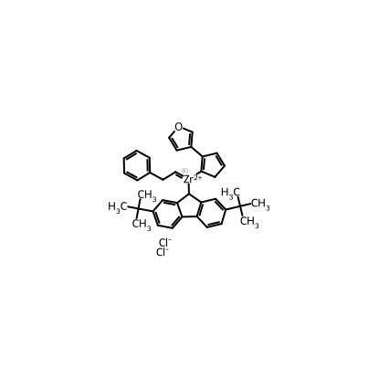 CC(C)(C)c1ccc2c(c1)[CH](/[Zr+2](=[CH]\Cc1ccccc1)[C]1=C(c3ccoc3)C=CC1)c1cc(C(C)(C)C)ccc1-2.[Cl-].[Cl-]